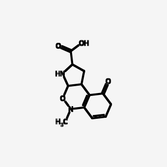 CN1OC2NC(C(=O)O)CC2C2=C1C=CCC2=O